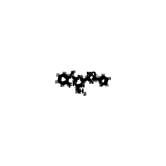 CN(c1nc(N)nc(-c2noc(-c3cccs3)n2)n1)c1ccccc1F